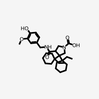 CCC1(C2(C3(CC)CCCCC3)CN(C(=O)O)CC2C(=O)NCc2ccc(O)c(OC)c2)CCCCC1